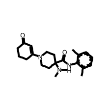 Cc1cccc(C)c1NC(=O)C1(N(C)C)CCN(C2=CC(=O)CCC2)CC1